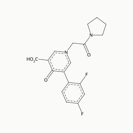 O=C(O)c1cn(CC(=O)N2CCCC2)cc(-c2ccc(F)cc2F)c1=O